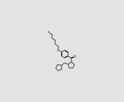 O=C(c1ccc(OCCCCCF)cc1)N1CCCC1CN1CCCC1